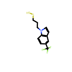 FC(F)(F)c1ccc2c(ccn2CCCSS)c1